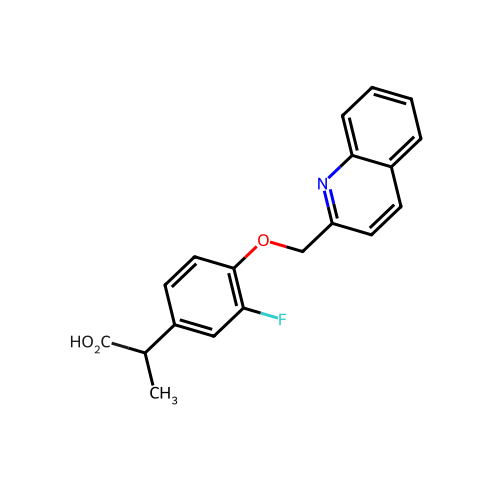 CC(C(=O)O)c1ccc(OCc2ccc3ccccc3n2)c(F)c1